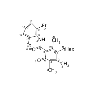 CCCCCCn1c(C)c(C)c(=O)c(C(=O)Nc2c(CC)cccc2CC)c1C